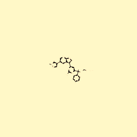 COCOC(C)(c1ccccc1)c1cc(-c2c[nH]c3ncc(-c4cnn(C)c4)cc23)nc(N)n1